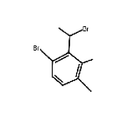 Cc1ccc(Br)c(C(C)Br)c1C